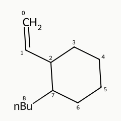 C=CC1CCCCC1CCCC